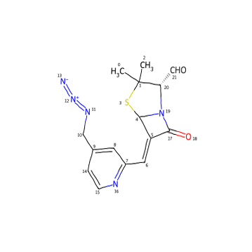 CC1(C)SC2/C(=C\c3cc(CN=[N+]=[N-])ccn3)C(=O)N2[C@H]1C=O